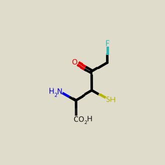 NC(C(=O)O)C(S)C(=O)CF